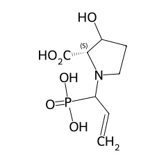 C=CC(N1CCC(O)[C@H]1C(=O)O)P(=O)(O)O